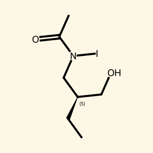 CC[C@H](CO)CN(I)C(C)=O